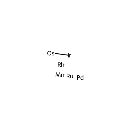 [Mn].[Os][Ir].[Pd].[Rh].[Ru]